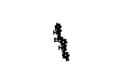 CCN(CCNCc1ccccn1)Cc1ccc(CNCCc2ccc(F)cc2)cc1